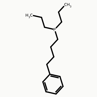 CCCP(CCC)CCCCc1ccccc1